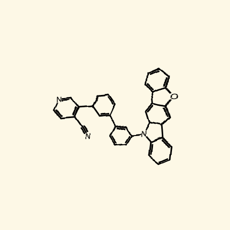 N#Cc1ccncc1C1C=C(c2cccc(N3c4ccccc4C4C=c5oc6ccccc6c5=CC43)c2)C=CC1